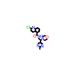 Cc1ncc(C(CNC(=O)c2cccc3nc(Cl)ccc23)N2CCOCC2)cn1